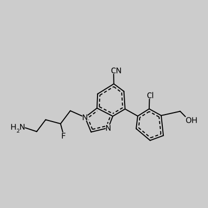 N#Cc1cc(-c2cccc(CO)c2Cl)c2ncn(CC(F)CCN)c2c1